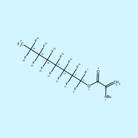 C=C(CCCC)C(=O)OC(F)(F)C(F)(F)C(F)(F)C(F)(F)C(F)(F)C(F)(F)C(F)(F)C(F)(F)F